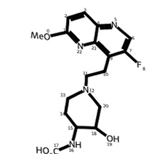 COc1ccc2ncc(F)c(CCN3CCC(NC(=O)O)C(O)C3)c2n1